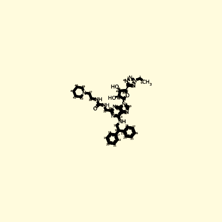 CCn1nnc([C@H]2O[C@@H](n3cnc4c(NCC(c5ccccc5)c5ccccc5)nc(CNC(=O)NCCN5CCCCC5)nc43)[C@@H](O)[C@@H]2O)n1